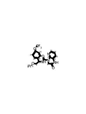 CC(C)OCC(NC(=O)N1CC(=O)Nc2cccnc21)c1ccc(OC(F)(F)F)cc1